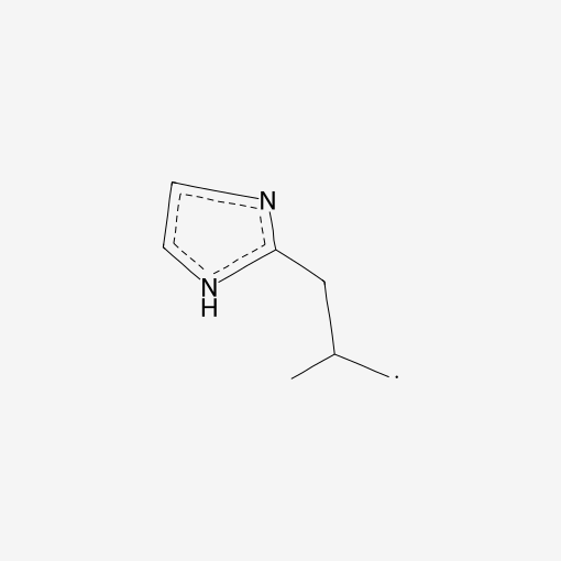 [CH2]C(C)Cc1ncc[nH]1